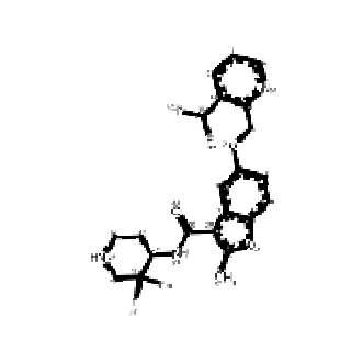 Cc1oc2ccc(OCc3ncccc3C(F)F)cc2c1C(=O)NC1CCNCC1(F)F